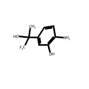 CC(O)(c1ccc(N)c(O)c1)C(F)(F)F